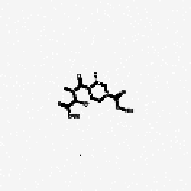 CCCCOC(=O)N1CCN(C(=O)N(C)[C@H](C(=O)OC)C(C)C)[C@H](C)C1